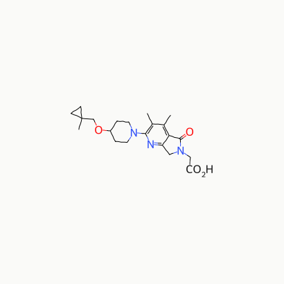 Cc1c(N2CCC(OCC3(C)CC3)CC2)nc2c(c1C)C(=O)N(CC(=O)O)C2